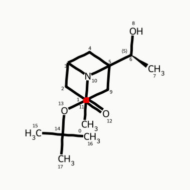 CC1CC2CC([C@H](C)O)(C1)N2C(=O)OC(C)(C)C